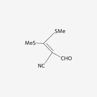 CSC(SC)=C(C#N)C=O